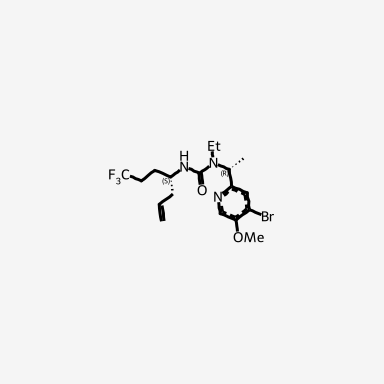 C=CC[C@H](CCC(F)(F)F)NC(=O)N(CC)[C@H](C)c1cc(Br)c(OC)cn1